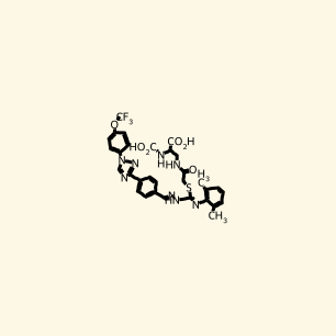 Cc1cccc(C)c1/N=C(/N/N=C/c1ccc(-c2ncn(-c3ccc(OC(F)(F)F)cc3)n2)cc1)SCC(=O)NCC(NC(=O)O)C(=O)O